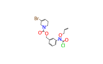 C=CCON(C(=O)Cl)c1cccc(COC(=O)N2CCC=C(Br)C2)c1